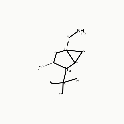 C[C@@H]1C[C@@]2(CN)CC2N1C(C)(C)C